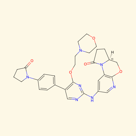 O=C1CCCN1c1ccc(-c2cnc(Nc3cnc4c(c3)N3C(=O)CC[C@H]3CO4)nc2OCCN2CCOCC2)cc1